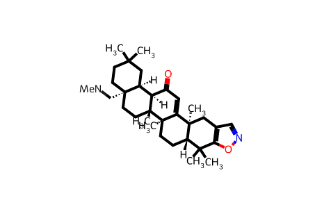 CNC[C@]12CCC(C)(C)C[C@H]1[C@H]1C(=O)C=C3[C@@]4(C)Cc5cnoc5C(C)(C)[C@@H]4CC[C@@]3(C)[C@]1(C)CC2